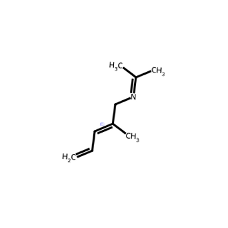 C=C/C=C(\C)CN=C(C)C